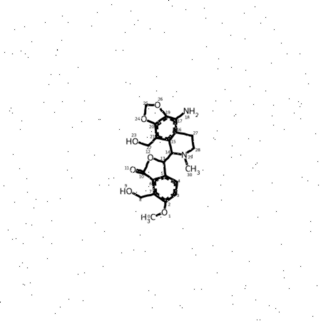 COc1ccc2c(c1CO)C(=O)OC2C1c2c(c(N)c3c(c2CO)OCO3)CCN1C